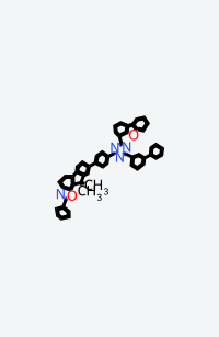 CC1(C)c2cc(-c3ccc(-c4nc(-c5cccc(-c6ccccc6)c5)nc(-c5cccc6c5oc5ccccc56)n4)cc3)ccc2-c2ccc3nc(-c4ccccc4)oc3c21